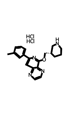 Cc1cccc(-c2cc3nccnc3c(OC[C@H]3CCCNC3)n2)c1.Cl.Cl